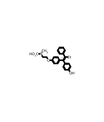 CC/C(=C(\c1ccc(O)cc1)c1ccc(OCCN(C)C(=O)O)cc1)c1ccccc1